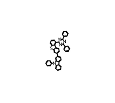 c1ccc(-c2nc(-c3ccccc3)nc(-c3cccc4sc5cc(-c6ccc7c8ccccc8n(-c8ccccc8)c7c6)ccc5c34)n2)cc1